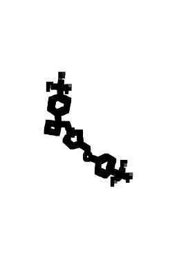 FC(F)(F)c1ccc(OCC2CCN(CC3(c4ccc(C(F)(F)F)cc4)CCC3)C2)cc1